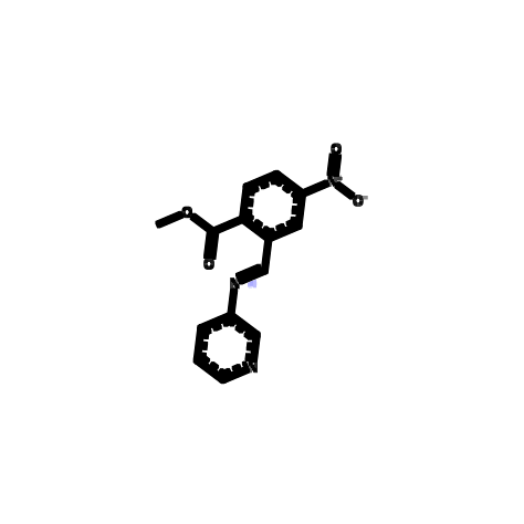 COC(=O)c1ccc([N+](=O)[O-])cc1/C=N/c1cccnc1